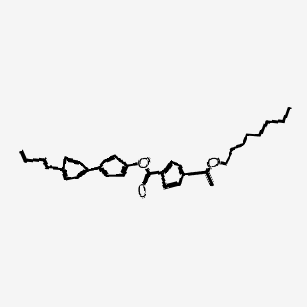 CCCCCCCCOC(C)c1ccc(C(=O)Oc2ccc(-c3ccc(CCCC)cc3)cc2)cc1